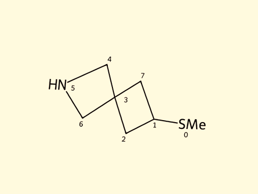 CSC1CC2(CNC2)C1